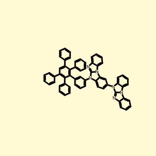 c1ccc(-c2cc(-c3ccccc3)c(-c3ccccc3)c(-c3cccc(-n4c5ccc(-n6c7ccccc7n7c8ccccc8nc67)cc5n5c6ccccc6nc45)c3)c2-c2ccccc2)cc1